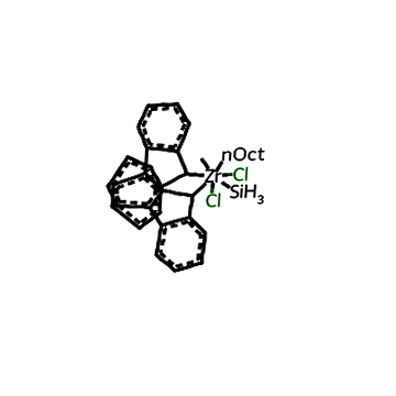 CCCCCCC[CH2][Zr]([CH3])([SiH3])([Cl])([Cl])([CH]1c2ccccc2-c2ccccc21)[CH]1c2ccccc2-c2ccccc21